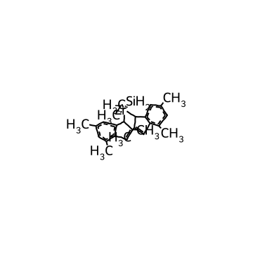 CC1=Cc2c(C)cc(C)cc2[CH]1[Zr]([CH3])([CH3])(=[SiH2])[CH]1C(C)=Cc2c(C)cc(C)cc21